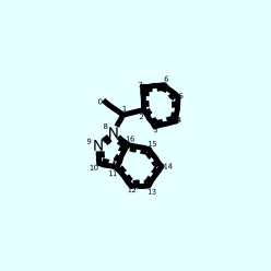 CC(c1ccccc1)n1ncc2ccccc21